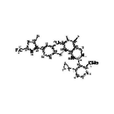 COc1ncnc(C2CC2)c1-c1ncc2c(C)nc(=O)n(Cc3ccc(-n4nc(C(F)(F)F)cc4C)cc3)c2n1